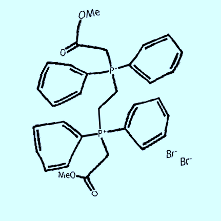 COC(=O)C[P+](CC[P+](CC(=O)OC)(c1ccccc1)c1ccccc1)(c1ccccc1)c1ccccc1.[Br-].[Br-]